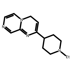 CCN1CCC(C2=CCN3C=CN=CC3=N2)CC1